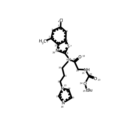 Cc1cc(Cl)cc2sc(N(CCCn3ccnc3)C(=O)CNC(=O)OC(C)(C)C)nc12